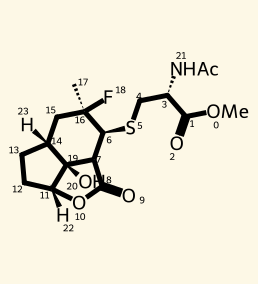 COC(=O)[C@H](CS[C@H]1C2C(=O)O[C@@H]3CC[C@H](C[C@@]1(C)F)[C@]23O)NC(C)=O